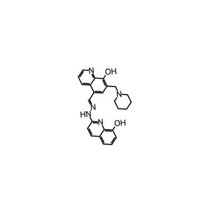 Oc1cccc2ccc(N/N=C/c3cc(CN4CCCCC4)c(O)c4ncccc34)nc12